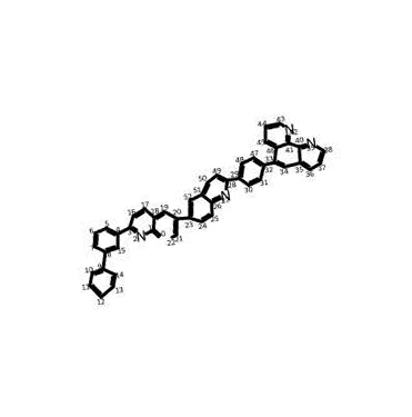 C=c1nc(-c2cccc(-c3ccccc3)c2)cc/c1=C/C(=C\C)c1ccc2nc(-c3ccc(-c4cc5cccnc5c5ncccc45)cc3)ccc2c1